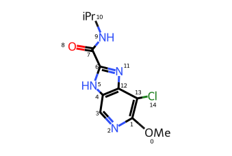 COc1ncc2[nH]c(C(=O)NC(C)C)nc2c1Cl